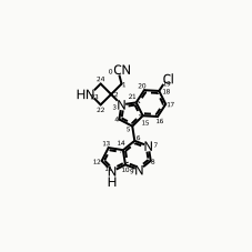 N#CCC1(n2cc(-c3ncnc4[nH]ccc34)c3ccc(Cl)cc32)CNC1